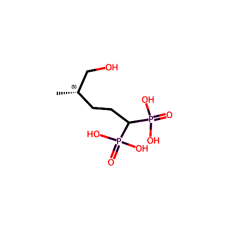 C[C@H](CO)CCC(P(=O)(O)O)P(=O)(O)O